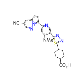 CNc1cc(-c2ccc3cc(C#N)cnn23)ncc1-c1nnc(C2CCC(C(=O)O)CC2)s1